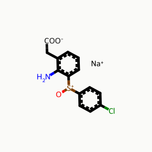 Nc1c(CC(=O)[O-])cccc1[S+]([O-])c1ccc(Cl)cc1.[Na+]